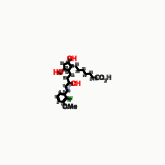 COc1cccc(/C=C/C(O)CCC2[C@H](O)C[C@H](O)[C@@H]2CCCCCCC(=O)O)c1F